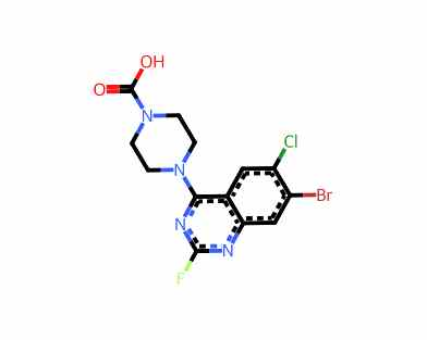 O=C(O)N1CCN(c2nc(F)nc3cc(Br)c(Cl)cc23)CC1